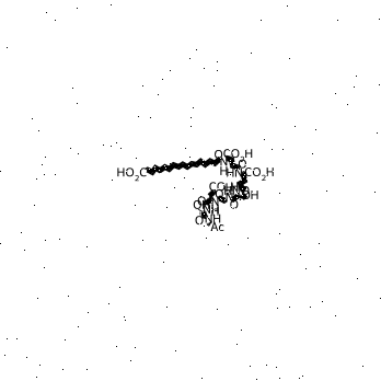 CC(=O)CNC(=O)[C@H](CO)NC(=O)[C@H](CCC(=O)O)NC(=O)CNC(=O)[C@H](CO)NC(=O)CC[C@H](NC(=O)CC[C@H](NC(=O)CCCCCCCCCCCCCCCCC(=O)O)C(=O)O)C(=O)O